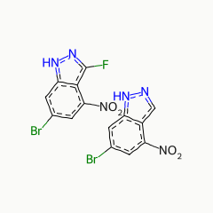 O=[N+]([O-])c1cc(Br)cc2[nH]nc(F)c12.O=[N+]([O-])c1cc(Br)cc2[nH]ncc12